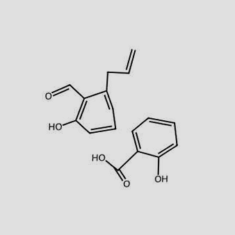 C=CCc1cccc(O)c1C=O.O=C(O)c1ccccc1O